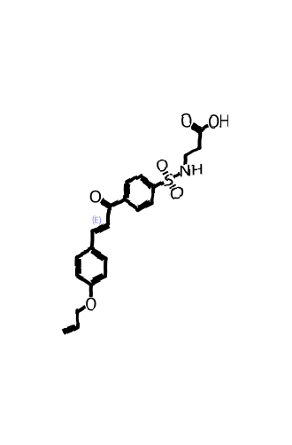 C=CCOc1ccc(/C=C/C(=O)c2ccc(S(=O)(=O)NCCC(=O)O)cc2)cc1